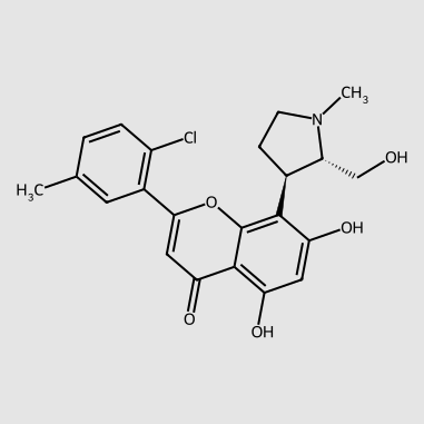 Cc1ccc(Cl)c(-c2cc(=O)c3c(O)cc(O)c([C@H]4CCN(C)[C@@H]4CO)c3o2)c1